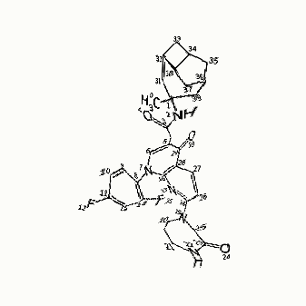 CC1(NC(=O)c2cn(-c3ccc(F)cc3F)c3nc(N4CCNC(=O)C4)ccc3c2=O)C=C2CC3CC(CC23)C1